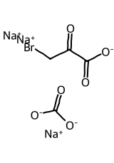 O=C([O-])C(=O)CBr.O=C([O-])[O-].[Na+].[Na+].[Na+]